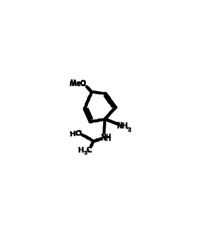 COC1C=CC(N)(NC(C)O)C=C1